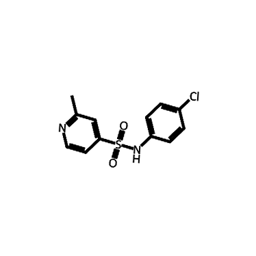 Cc1cc(S(=O)(=O)Nc2ccc(Cl)cc2)ccn1